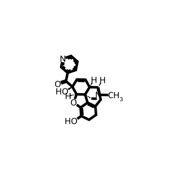 CN1CC[C@]23C4=C5CCC(O)=C4O[C@H]2[C@](O)(C(=O)c2cccnc2)C=C[C@H]3[C@H]1C5